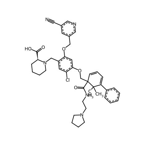 CC1(C)C(c2ccccc2)=CC=CC1(COc1cc(OCc2cncc(C#N)c2)c(CN2CCCC[C@H]2C(=O)O)cc1Cl)C(=O)NCCN1CCCC1